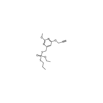 C#CCOc1cc(CSP(=O)(OCC)SCCC)nc(OC)n1